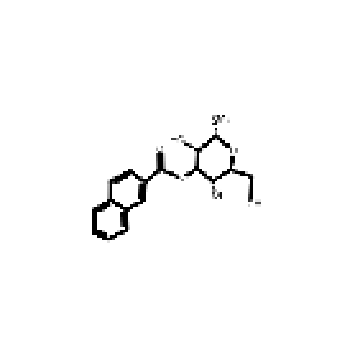 CS[C@@H]1OC(CO)[C@H](O)C(NC(=O)c2ccc3ccccc3c2)[C@H]1O